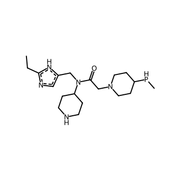 CCc1ncc(CN(C(=O)CN2CCC(PC)CC2)C2CCNCC2)[nH]1